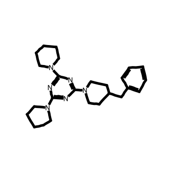 c1ccc(CC2CCN(c3nc(N4CCCCC4)nc(N4CCCCC4)n3)CC2)cc1